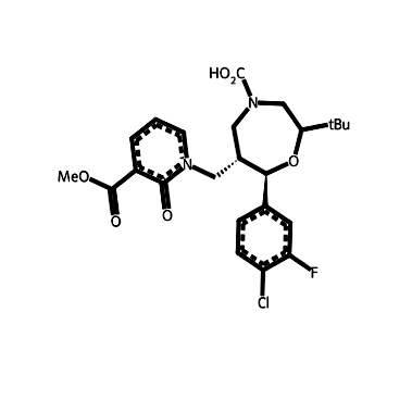 COC(=O)c1cccn(C[C@@H]2CN(C(=O)O)CC(C(C)(C)C)O[C@H]2c2ccc(Cl)c(F)c2)c1=O